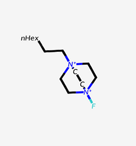 CCCCCCCC[N+]12CC[N+](F)(CC1)CC2